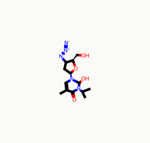 CC1=CN([C@H]2CC(N=[N+]=[N-])[C@@H](CO)O2)C(O)N(C(C)C)C1=O